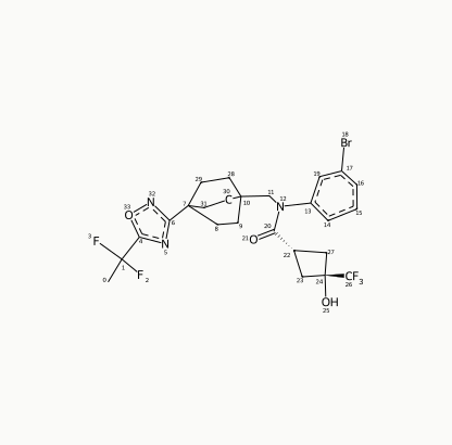 CC(F)(F)c1nc(C23CCC(CN(c4cccc(Br)c4)C(=O)[C@H]4C[C@](O)(C(F)(F)F)C4)(CC2)CC3)no1